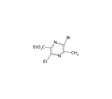 CCOC(=O)c1nc(Br)c(C)nc1CC